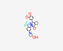 COc1ccc(-c2nn(-c3cc(N4CCC(O)C4)ccc3C(F)(F)F)c(=O)c3c2CCC3)cc1OC